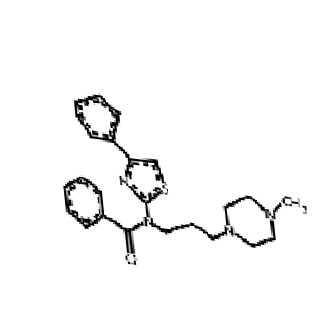 CN1CCN(CCCN(C(=O)c2ccccc2)c2nc(-c3ccccc3)cs2)CC1